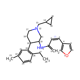 C=C(/C=C\c1ccoc1)NC1CN(CC2CC2)CCC1c1cc(C)ccc1CC